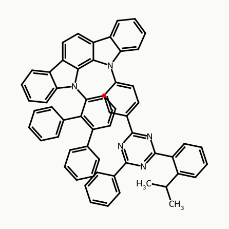 CC(C)c1ccccc1-c1nc(-c2ccccc2)nc(-c2ccc(-n3c4ccccc4c4ccc5c6ccccc6n(-c6cccc(-c7ccccc7)c6-c6ccccc6)c5c43)cc2)n1